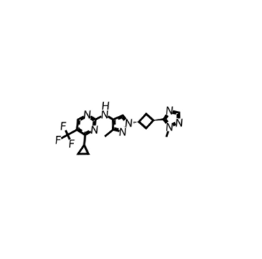 Cc1nn([C@H]2C[C@H](c3ncnn3C)C2)cc1Nc1ncc(C(F)(F)F)c(C2CC2)n1